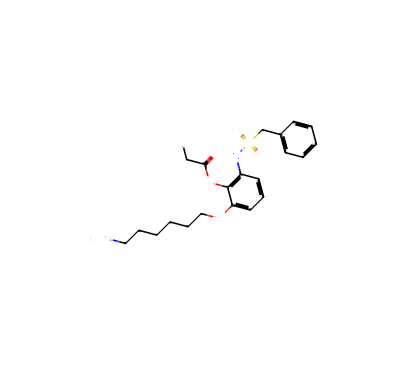 CCC(=O)Oc1c(NS(=O)(=O)Cc2ccccc2)cccc1OCCCCCCN.Cl